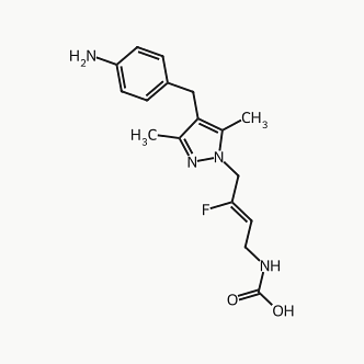 Cc1nn(CC(F)=CCNC(=O)O)c(C)c1Cc1ccc(N)cc1